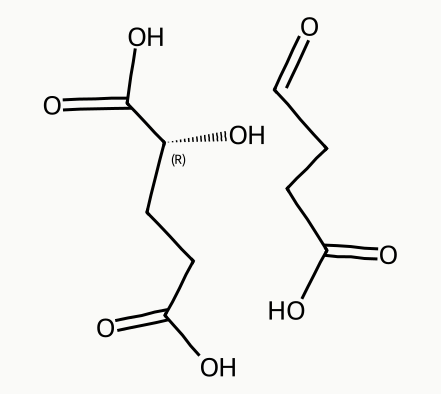 O=C(O)CC[C@@H](O)C(=O)O.O=CCCC(=O)O